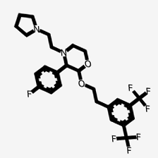 Fc1ccc(C2C(OCCc3cc(C(F)(F)F)cc(C(F)(F)F)c3)OCCN2CCN2CCCC2)cc1